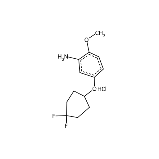 COc1ccc(OC2CCC(F)(F)CC2)cc1N.Cl